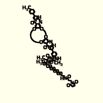 C=C(Nc1ccc(C2=CN3C(=O)c4cc5c(cc4N=C[C@@H]3C2)OCCCOc2cc3c(cc2OCCCCCCCCO5)C(=O)N2C=C(c4ccc(C)cc4)C[C@H]2C=N3)cc1)[C@H](C)NC(=O)[C@@H](NC(=O)OOOOOOOOCCNC(=O)CCN1C(=O)C=CC1=O)C(C)C